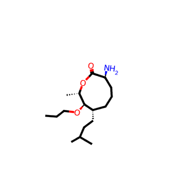 CCCO[C@@H]1[C@@H](CCC(C)C)CCC[C@H](N)C(=O)O[C@H]1C